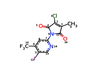 CC1=C(Cl)C(=O)N(c2cc(C(F)(F)F)c(I)cn2)C1=O